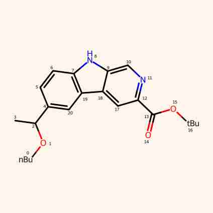 CCCCOC(C)c1ccc2[nH]c3cnc(C(=O)OC(C)(C)C)cc3c2c1